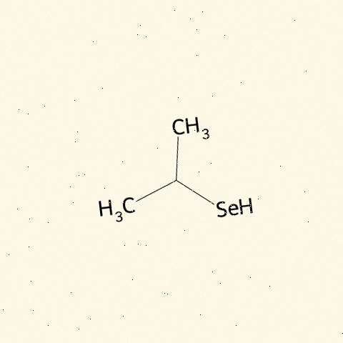 CC(C)[SeH]